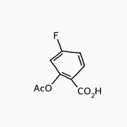 CC(=O)Oc1cc(F)ccc1C(=O)O